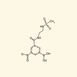 CS(=O)(=O)NCCNC(=O)c1cc(B(O)O)cc([N+](=O)[O-])c1